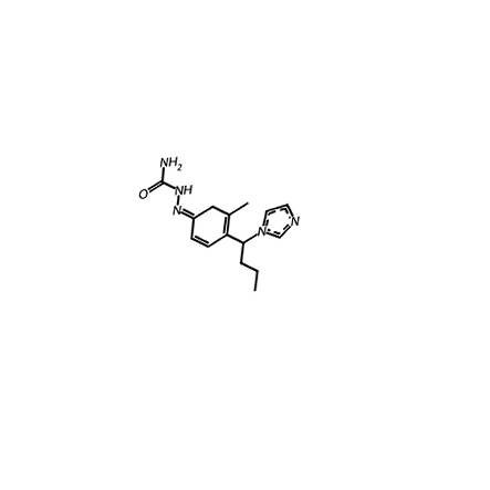 CCCC(C1=C(C)CC(=NNC(N)=O)C=C1)n1ccnc1